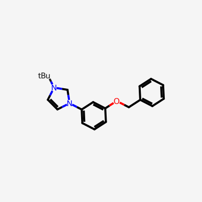 CC(C)(C)N1C=CN(c2cccc(OCc3ccccc3)c2)C1